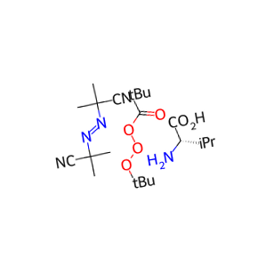 CC(C)(C#N)/N=N/C(C)(C)C#N.CC(C)(C)OOOC(=O)C(C)(C)C.CC(C)[C@H](N)C(=O)O